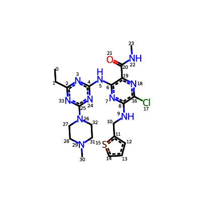 CCc1nc(Nc2nc(NCc3cccs3)c(Cl)nc2C(=O)NC)nc(N2CCN(C)CC2)n1